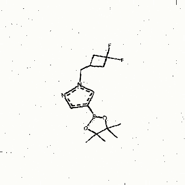 CC1(C)OB(c2cnn(CC3CC(F)(F)C3)c2)OC1(C)C